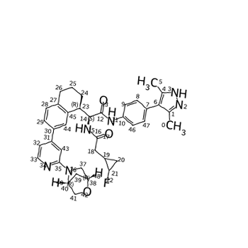 Cc1n[nH]c(C)c1-c1ccc(NC(=O)[C@@H](NC(=O)CC2CC2F)[C@@H]2CCCc3ccc(-c4ccnc(N5C[C@H]6C[C@@H]5CO6)c4)cc32)cc1